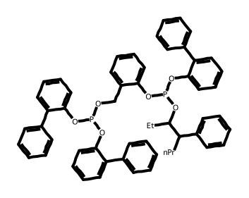 CCCC(c1ccccc1)C(CC)OP(Oc1ccccc1COP(Oc1ccccc1-c1ccccc1)Oc1ccccc1-c1ccccc1)Oc1ccccc1-c1ccccc1